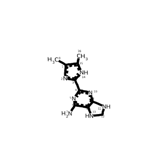 Cc1nc(-c2nc(N)c3c(n2)NCN3)[nH]c1C